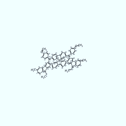 CCn1c2ccc(C)cc2c2cc(N(c3ccc(OC)cc3)c3ccc4c(c3)C3(c5ccccc5-c5ccccc53)c3cc(N(c5ccc(OC)cc5)c5ccc6c(c5)c5cc(C)ccc5n6CC)ccc3-4)ccc21